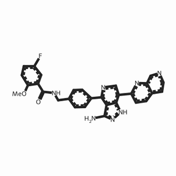 COc1ccc(F)cc1C(=O)NCc1ccc(-c2ncc(-c3ccc4ccncc4n3)c3[nH]nc(N)c23)cc1